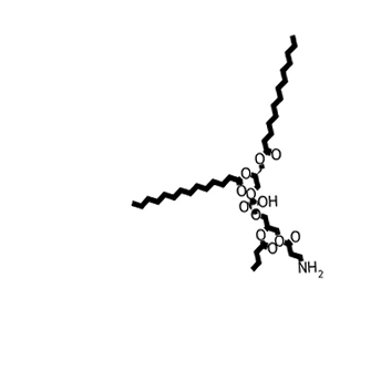 CCCCCCCCCCCCCC(=O)OC[C@H](COP(=O)(O)OCC(COC(=O)CCN)OC(=O)CCC)OC(=O)CCCCCCCCCCCCC